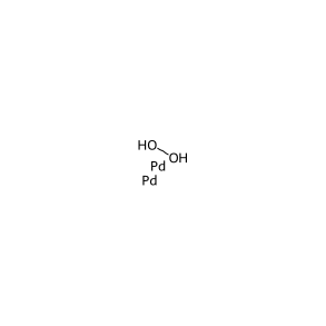 OO.[Pd].[Pd]